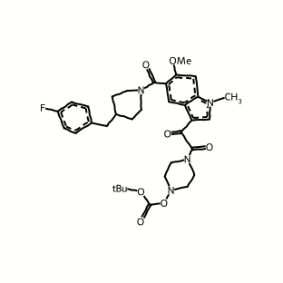 COc1cc2c(cc1C(=O)N1CCC(Cc3ccc(F)cc3)CC1)c(C(=O)C(=O)N1CCN(OC(=O)OC(C)(C)C)CC1)cn2C